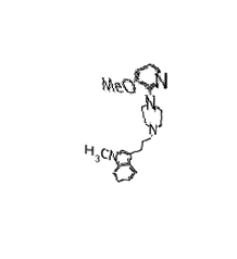 COc1cccnc1N1CCN(CCCc2cn(C)c3ccccc23)CC1